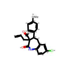 C=CCC1(C(=O)OC)C(=O)Nc2ccc(Cl)cc2CC1c1ccc(OC)cc1